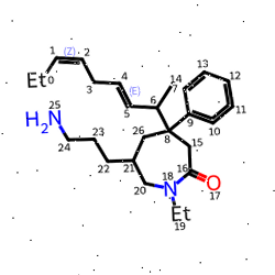 CC/C=C\C/C=C/C(C)C1(C2=C=C=CC=C2)CC(=O)N(CC)CC(CCCN)C1